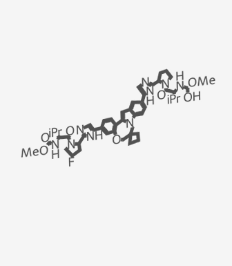 COC(=O)NC(C(=O)N1C[C@@H](F)CC1c1ncc(-c2ccc3c(c2)OCC2(CCC2)Cn2c-3cc3cc(-c4cnc(C5CCCN5C(=O)C(NC(O)OC)C(C)C)[nH]4)ccc32)[nH]1)C(C)C